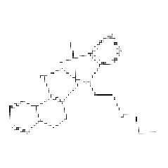 CCCOCCN1c2ccccc2C(C)(C)C12CNC1=C(CCC3C=CC=CC13)O2